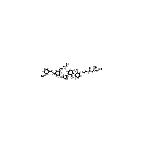 Cc1c(OCCCNC[C@H](O)CO)cccc1-c1cccc(-c2nnc(Nc3cc(CNCCO)cc(OCc4cncc(C#N)c4)c3)o2)c1C